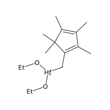 CC[O][Hf]([CH2]C1=C(C)C(C)=C(C)C1(C)C)[O]CC